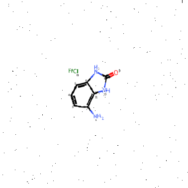 Cl.Nc1cccc2[nH]c(=O)[nH]c12